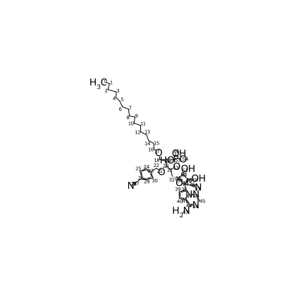 CCCCCCCCCCCCCCCCCOCCC(OCc1ccc(C#N)cc1)C(C[C@H]1O[C@@](C#N)(c2ccc3c(N)ncnn23)[C@H](O)[C@@H]1O)OP(=O)(O)O